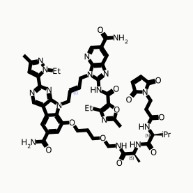 CCc1nc(C)oc1C(=O)Nc1nc2cc(C(N)=O)cnc2n1C/C=C/Cn1c2nc(-c3cc(C)nn3CC)ncc2c2cc(C(N)=O)cc(OCCCOCNC(=O)[C@H](C)NC(=O)[C@@H](NC(=O)CCN3C(=O)C=CC3=O)C(C)C)c21